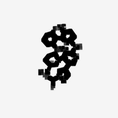 COc1cccc(F)c1-c1nc(Nc2cc(N3CCC[C@H](N)C3)c(-c3cnn(C(F)F)c3)cn2)ccc1C#N